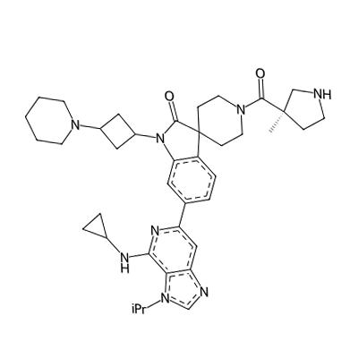 CC(C)n1cnc2cc(-c3ccc4c(c3)N(C3CC(N5CCCCC5)C3)C(=O)C43CCN(C(=O)[C@]4(C)CCNC4)CC3)nc(NC3CC3)c21